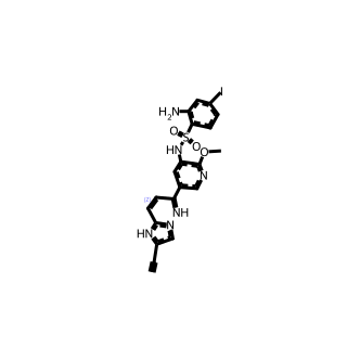 C#Cc1cnc(/C=C\C(=N)c2cnc(OC)c(NS(=O)(=O)c3ccc(I)cc3N)c2)[nH]1